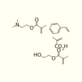 C=C(C)C(=O)O.C=C(C)C(=O)OCCN(C)C.C=C(C)C(=O)OCCO.C=Cc1ccccc1